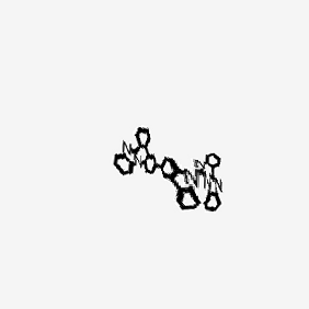 c1ccc2c(c1)nc(-n1c3ccccc3c3cc(-c4ccc5c(c4)c4ccccc4c4nc6ccccc6n54)ccc31)n1c3ccccc3nc21